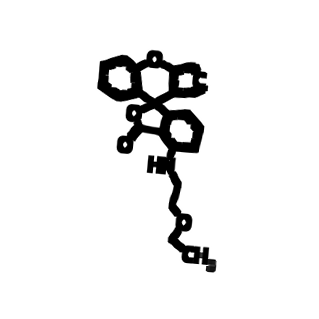 CCOCCNc1cccc2c1C(=O)OC21c2ccccc2Oc2ccccc21